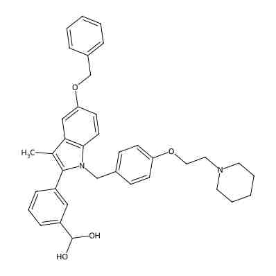 Cc1c(-c2cccc(C(O)O)c2)n(Cc2ccc(OCCN3CCCCC3)cc2)c2ccc(OCc3ccccc3)cc12